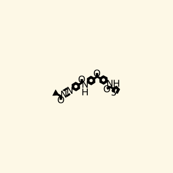 O=C(Nc1ccc(C(=O)c2ccc(NC(=O)c3cccs3)cc2)cc1)c1ccc(N2CCN(C(=O)C3CC3)CC2)cc1